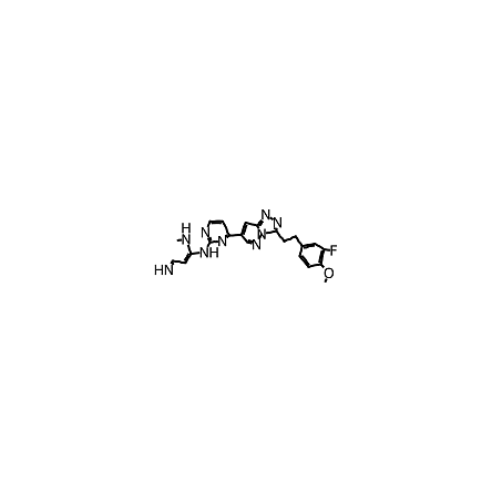 CN/C(=C\C=N)Nc1nccc(-c2cnn3c(CCc4ccc(OC)c(F)c4)nnc3c2)n1